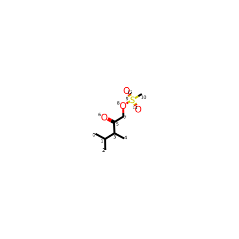 CC(C)C(C)C(=O)COS(C)(=O)=O